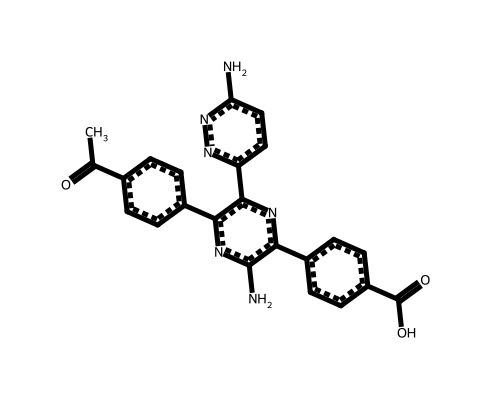 CC(=O)c1ccc(-c2nc(N)c(-c3ccc(C(=O)O)cc3)nc2-c2ccc(N)nn2)cc1